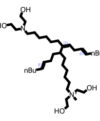 CCCC/C=C/C/C=C(/CCCCCCN(CCO)CCO)C(CC/C=C/CCCC)CCCCCC[N+](C)(CCO)CCO